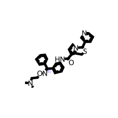 CN(C)CCO/N=C(\c1ccccc1)c1cccc(NC(=O)c2ccn3c2CSC3c2cccnc2)c1